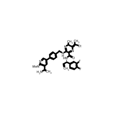 C=C[C@H](NC(=O)C1=N/C(=C(/C)CC)C(C)N=C1NCc1ccc(-c2cnc(NC)c(C(=C)N)c2)cc1)c1ccc(F)c(F)c1